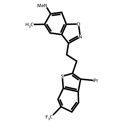 CNc1cc2onc(CCc3sc4cc(C(F)(F)F)ccc4c3C(C)C)c2cc1C